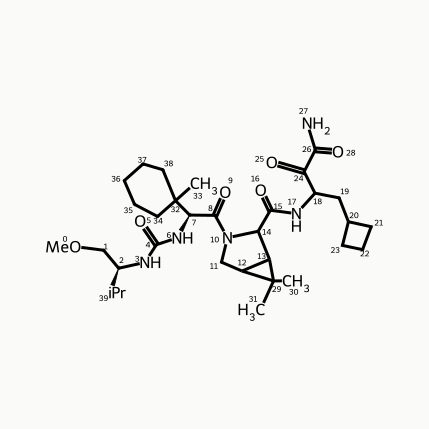 COC[C@@H](NC(=O)N[C@H](C(=O)N1CC2C(C1C(=O)NC(CC1CCC1)C(=O)C(N)=O)C2(C)C)C1(C)CCCCC1)C(C)C